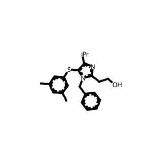 Cc1cc(C)cc(Sc2c(C(C)C)nc(CCO)n2Cc2ccccc2)c1